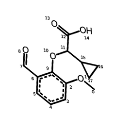 COc1cccc(C=O)c1OC(C(=O)O)C1CC1